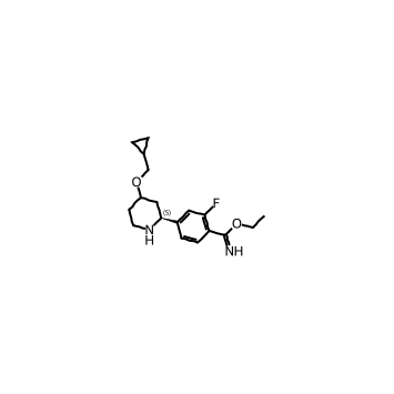 CCOC(=N)c1ccc([C@@H]2CC(OCC3CC3)CCN2)cc1F